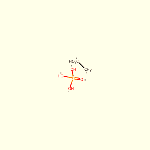 O=P(O)(O)O.[CH2]C(=O)O